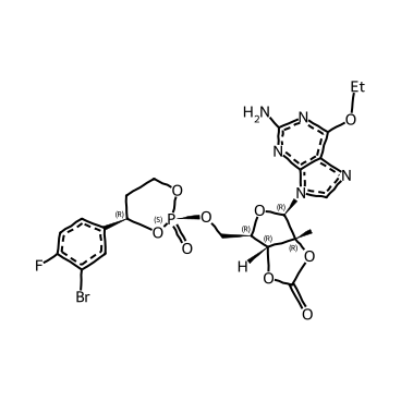 CCOc1nc(N)nc2c1ncn2[C@@H]1O[C@H](CO[P@]2(=O)OCC[C@H](c3ccc(F)c(Br)c3)O2)[C@H]2OC(=O)O[C@]21C